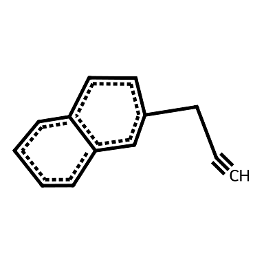 C#CCc1ccc2ccccc2c1